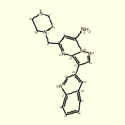 Nc1cc(CN2CCSCC2)nc2c(-c3cnc4ccccc4c3)cnn12